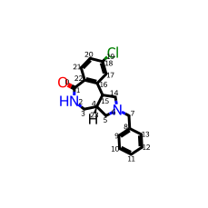 O=C1NC[C@H]2CN(Cc3ccccc3)CC2c2cc(Cl)ccc21